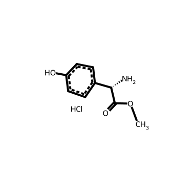 COC(=O)[C@@H](N)c1ccc(O)cc1.Cl